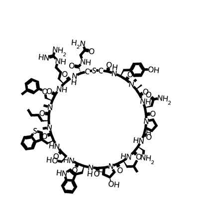 CCCC[C@H]1C(=O)N(C)[C@@H](COc2cccc(C)c2)C(=O)N[C@@H](CCCNC(=N)N)C(=O)N[C@H](C(=O)NCC(N)=O)CSCC(=O)N[C@@H](Cc2ccc(O)cc2)C(=O)N(C)[C@@H](C)C(=O)N[C@@H](CC(N)=O)C(=O)N2CCC[C@H]2C(=O)N[C@@H](CN)C(=O)N[C@@H](CC(C)C)C(=O)N2C[C@H](O)C[C@H]2C(=O)N[C@@H](Cc2c[nH]c3ccccc23)C(=O)N[C@@H](CO)C(=O)N[C@@H](Cc2csc3ccccc23)C(=O)N1C